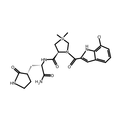 C[Si]1(C)C[C@H](C(=O)N[C@@H](C[C@@H]2CCNC2=O)C(N)=O)N(C(=O)c2cc3cccc(Cl)c3[nH]2)C1